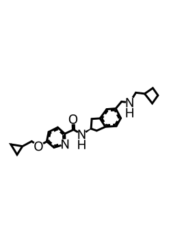 O=C(N[C@@H]1Cc2ccc(CNCC3CCC3)cc2C1)c1ccc(OCC2CC2)cn1